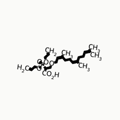 C=CCOP(=O)(OCC=C)C(COCC=C(C)CCC=C(C)CCC=C(C)C)C(=O)O